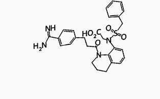 N=C(N)c1ccc(CCC(=O)N2CCCc3cccc(N(CC(=O)O)S(=O)(=O)Cc4ccccc4)c32)cc1